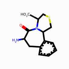 NC1Cc2ccccc2C2CSCC(C(=O)O)N2C1=O